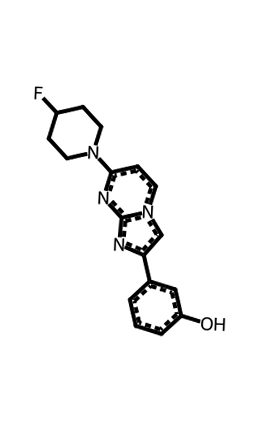 Oc1cccc(-c2cn3ccc(N4CCC(F)CC4)nc3n2)c1